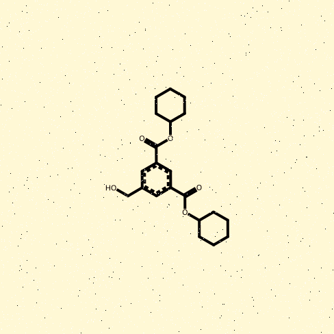 O=C(OC1CCCCC1)c1cc(CO)cc(C(=O)OC2CCCCC2)c1